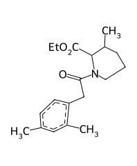 CCOC(=O)C1C(C)CCCN1C(=O)Cc1ccc(C)cc1C